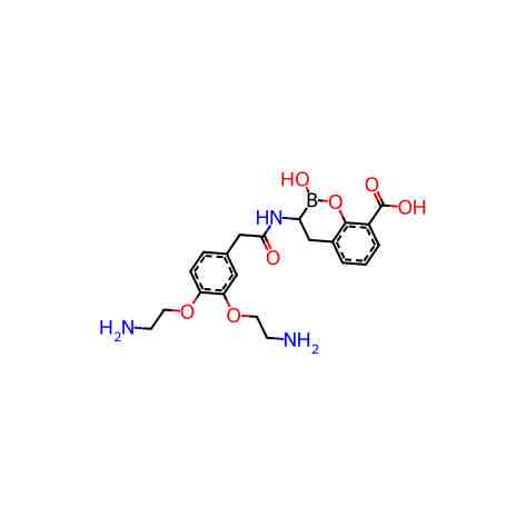 NCCOc1ccc(CC(=O)NC2Cc3cccc(C(=O)O)c3OB2O)cc1OCCN